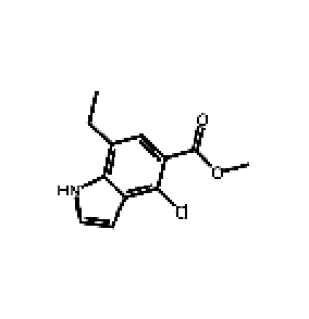 CCc1cc(C(=O)OC)c(Cl)c2cc[nH]c12